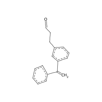 C=C(c1ccccc1)c1cccc(CCC=O)c1